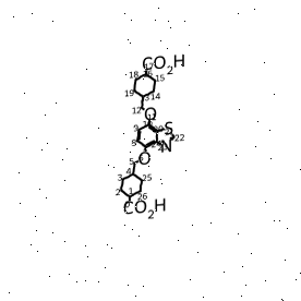 O=C(O)C1CCC(COc2ccc(OCC3CCC(C(=O)O)CC3)c3scnc23)CC1